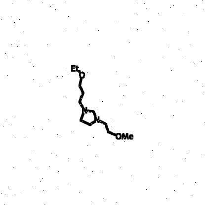 CCOCCCN1CCN(CCOC)C1